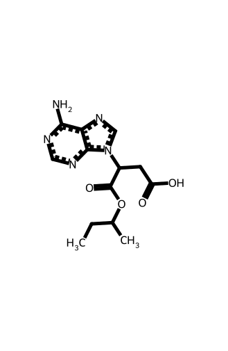 CCC(C)OC(=O)C(CC(=O)O)n1cnc2c(N)ncnc21